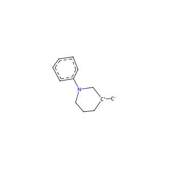 [CH2-][C+]1CCCN(c2ccccc2)C1